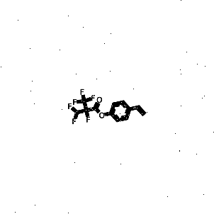 C=Cc1ccc(OC(=O)C(F)(C(F)F)C(F)(F)F)cc1